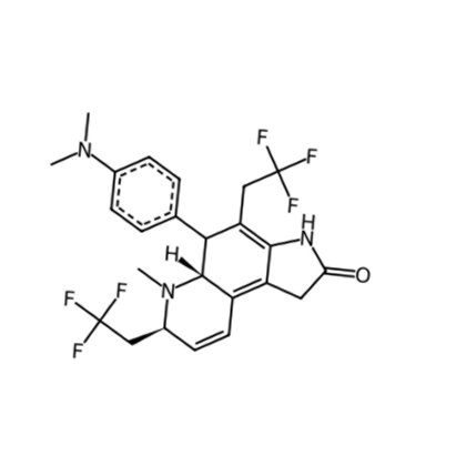 CN(C)c1ccc(C2C(CC(F)(F)F)=C3NC(=O)CC3=C3C=C[C@@H](CC(F)(F)F)N(C)[C@@H]32)cc1